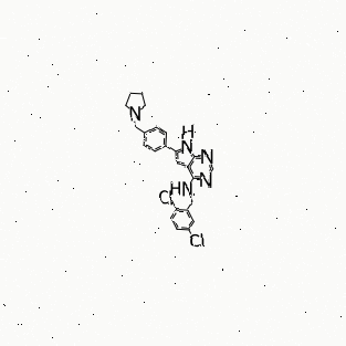 Clc1ccc(Cl)c(CNc2ncnc3[nH]c(-c4ccc(CN5CCCC5)cc4)cc23)c1